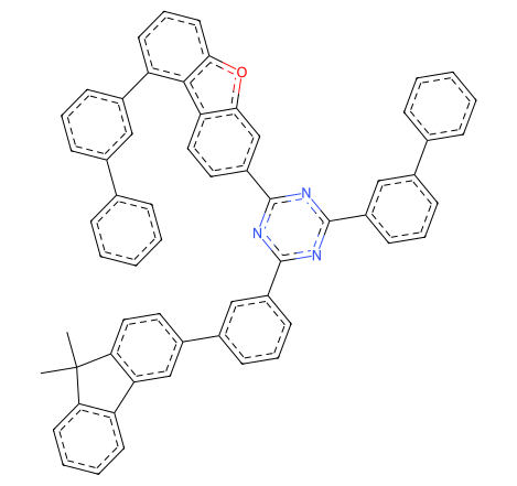 CC1(C)c2ccccc2-c2cc(-c3cccc(-c4nc(-c5cccc(-c6ccccc6)c5)nc(-c5ccc6c(c5)oc5cccc(-c7cccc(-c8ccccc8)c7)c56)n4)c3)ccc21